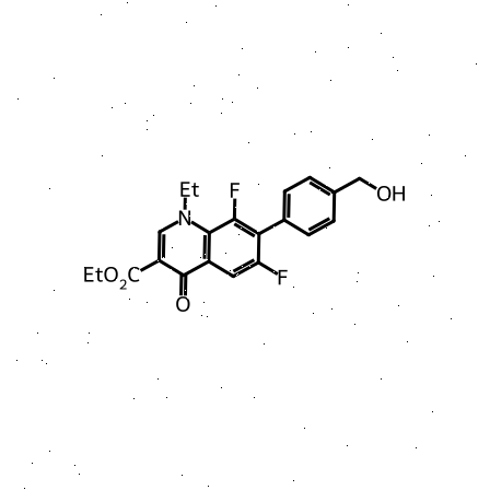 CCOC(=O)c1cn(CC)c2c(F)c(-c3ccc(CO)cc3)c(F)cc2c1=O